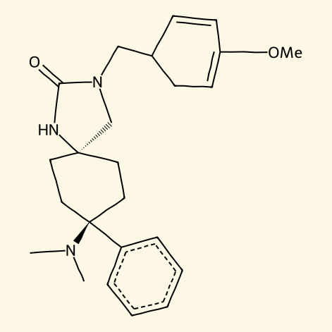 COC1=CCC(CN2C[C@]3(CC[C@](c4ccccc4)(N(C)C)CC3)NC2=O)C=C1